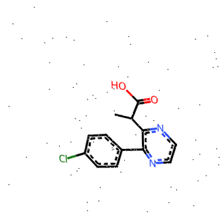 CC(C(=O)O)c1nccnc1-c1ccc(Cl)cc1